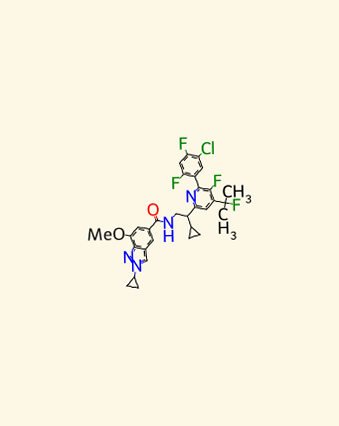 COc1cc(C(=O)NCC(c2cc(C(C)(C)F)c(F)c(-c3cc(Cl)c(F)cc3F)n2)C2CC2)cc2cn(C3CC3)nc12